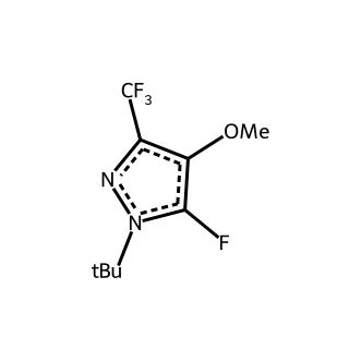 COc1c(C(F)(F)F)nn(C(C)(C)C)c1F